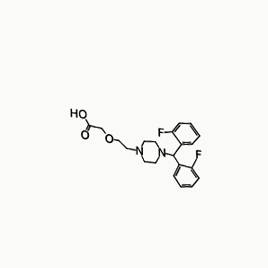 O=C(O)COCCN1CCN(C(c2ccccc2F)c2ccccc2F)CC1